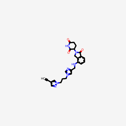 C#Cc1cnn(CCCn2cnc(CNc3cccc4c3CN(C3CCC(=O)NC3=O)C4=O)c2)c1